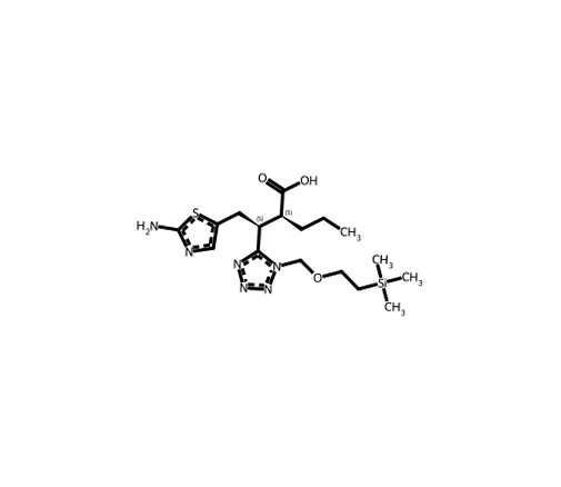 CCC[C@H](C(=O)O)[C@H](Cc1cnc(N)s1)c1nnnn1COCC[Si](C)(C)C